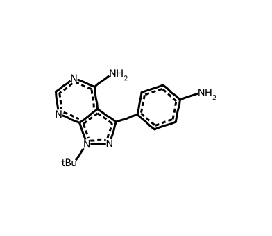 CC(C)(C)n1nc(-c2ccc(N)cc2)c2c(N)ncnc21